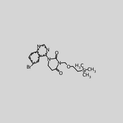 C[Si](C)(C)CCOCN1C(=O)CCN(c2ncnc3ccc(Br)cc23)C1=O